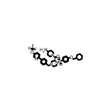 NC1CCN(C(=O)[C@@H]2CN(Cc3ccc(-c4ccc(OC(F)(F)F)cn4)cc3)CCN2S(=O)(=O)c2ccc(OCC3CCCCC3)cc2)CC1